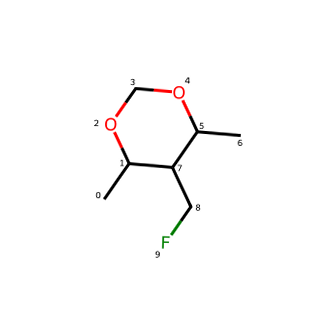 CC1OCOC(C)C1CF